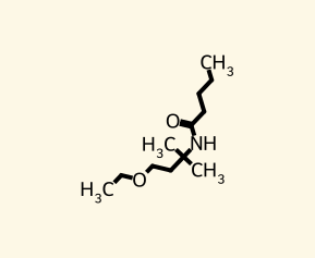 CCCCC(=O)NC(C)(C)CCOCC